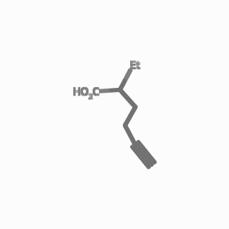 C#CCCC(CC)C(=O)O